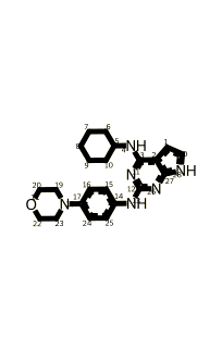 c1cc2c(NC3CCCCC3)nc(Nc3ccc(N4CCOCC4)cc3)nc2[nH]1